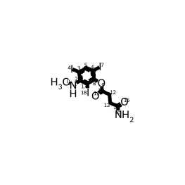 CNc1c(I)cc(I)c(OC(=O)CCC(N)=O)c1I